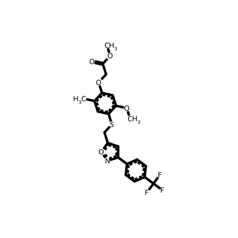 COC(=O)COc1cc(OC)c(SCc2cc(-c3ccc(C(F)(F)F)cc3)no2)cc1C